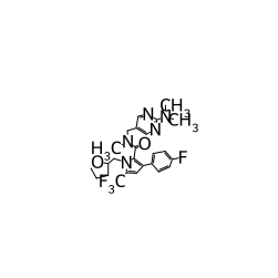 CN(Cc1cnc(N(C)C)nc1)C(=O)c1c(-c2ccc(F)cc2)cc(C(F)(F)F)n1CC1CCCO1